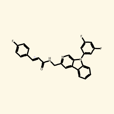 O=C(/C=C/c1ccc(F)cc1)NCc1cc2c3ccccc3n(-c3cc(F)cc(F)c3)c2cn1